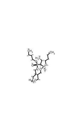 CCCCOP(=O)(OCCCC)C(CC)P(=O)(OCCCC)OCCCC